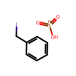 ICc1ccccc1.O=[SH](=O)O